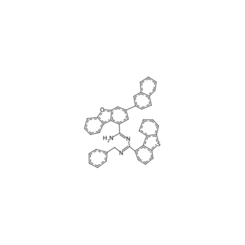 N/C(=N\C(=N/Cc1ccccc1)c1cccc2sc3ccccc3c12)c1cc(-c2ccc3ccccc3c2)cc2oc3ccccc3c12